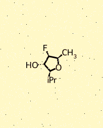 CC(C)[C@@H]1O[C@H](C)[C@H](F)[C@H]1O